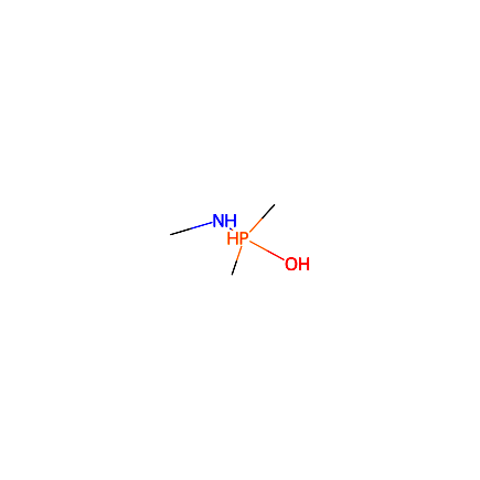 CN[PH](C)(C)O